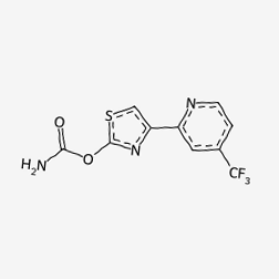 NC(=O)Oc1nc(-c2cc(C(F)(F)F)ccn2)cs1